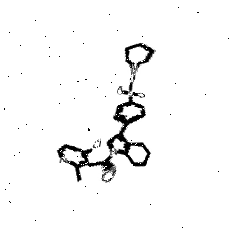 Cc1nccc(Cl)c1C(=O)n1cc(-c2ccc(S(=O)(=O)N3CCCCC3)cc2)c2c1CCCC2